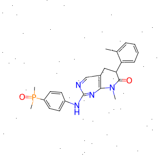 Cc1ccccc1C1Cc2cnc(Nc3ccc(P(C)(C)=O)cc3)nc2N(C)C1=O